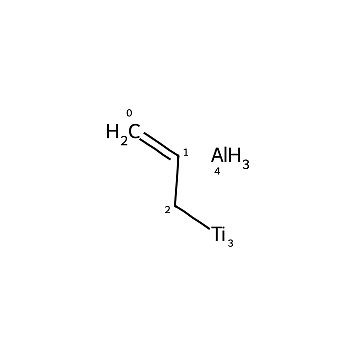 C=C[CH2][Ti].[AlH3]